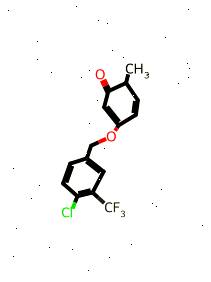 CC1C=CC(OCc2ccc(Cl)c(C(F)(F)F)c2)=CC1=O